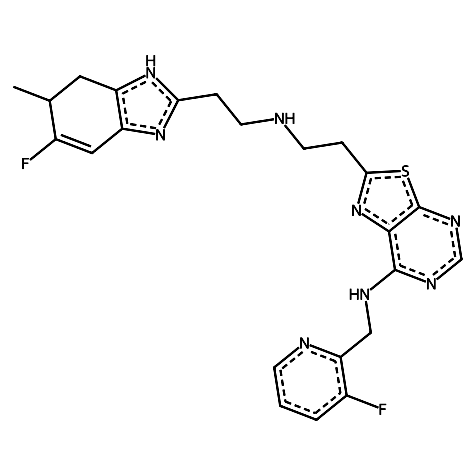 CC1Cc2[nH]c(CCNCCc3nc4c(NCc5ncccc5F)ncnc4s3)nc2C=C1F